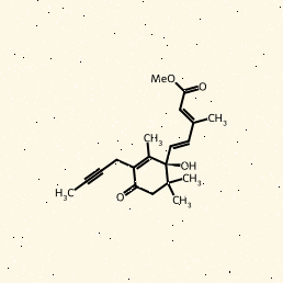 CC#CCC1=C(C)[C@](O)(C=CC(C)=CC(=O)OC)C(C)(C)CC1=O